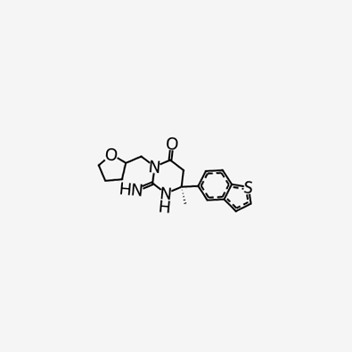 C[C@@]1(c2ccc3sccc3c2)CC(=O)N(CC2CCCO2)C(=N)N1